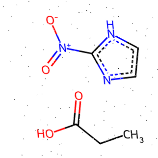 CCC(=O)O.O=[N+]([O-])c1ncc[nH]1